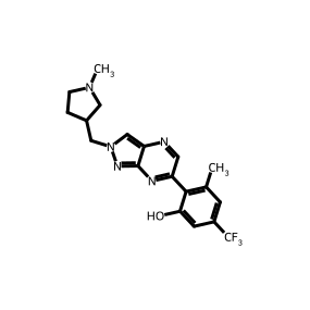 Cc1cc(C(F)(F)F)cc(O)c1-c1cnc2cn(CC3CCN(C)C3)nc2n1